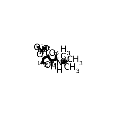 CC(C)(C)NC1CO[C@H]2C(O[N+](=O)[O-])CO[C@@H]12